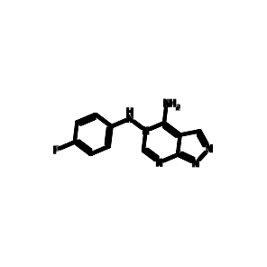 Nc1c2cnnc-2ncn1Nc1ccc(F)cc1